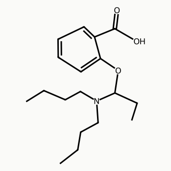 CCCCN(CCCC)C(CC)Oc1ccccc1C(=O)O